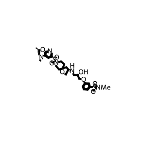 CNS(=O)(=O)c1cccc(OCC(O)CN[C@H]2COC3(CCN(S(=O)(=O)c4cnc5c(c4)N(C)C[C@@H](C)O5)CC3)C2)c1